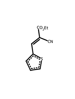 CCOC(=O)C(C#N)=Cc1cccs1